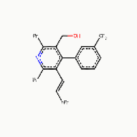 CCC/C=C/c1c(C(C)C)nc(C(C)C)c(CO)c1-c1cccc(C(F)(F)F)c1